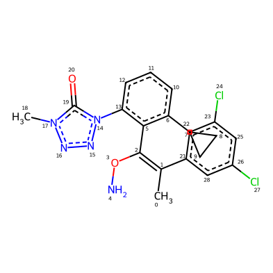 C/C(=C(\ON)c1c(C2CC2)cccc1-n1nnn(C)c1=O)c1cc(Cl)cc(Cl)c1